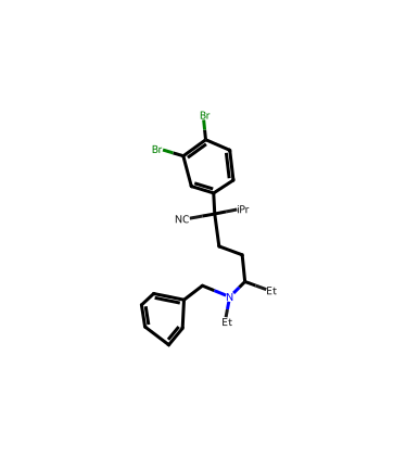 CCC(CCC(C#N)(c1ccc(Br)c(Br)c1)C(C)C)N(CC)Cc1ccccc1